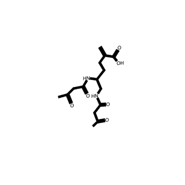 C=C(CCC(CNC(=O)CC(C)=O)NC(=O)CC(C)=O)C(=O)O